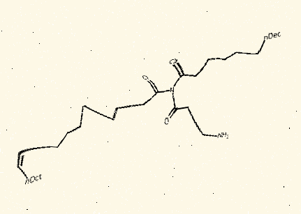 CCCCCCCC/C=C\CCCCCCCC(=O)N(C(=O)CCN)C(=O)CCCCCCCCCCCCCCC